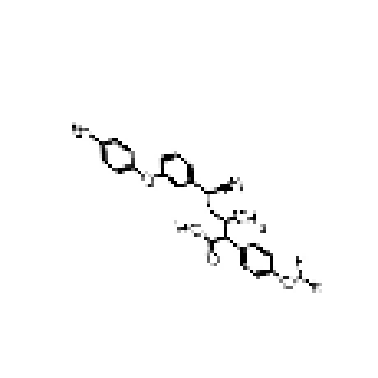 CC(C[C@@H](C#N)c1cccc(Oc2ccc(Br)cc2)c1)C(C(=O)O)c1ccc(OC(F)F)cc1